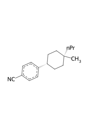 CCC[C@]1(C)CC[C@H](c2ccc(C#N)cc2)CC1